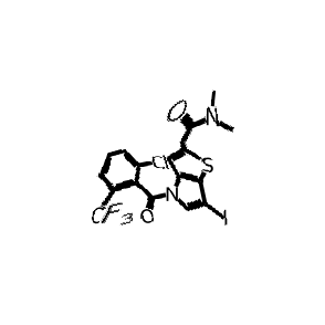 CN(C)C(=O)c1cc2c(s1)c(I)cn2C(=O)c1c(Cl)cccc1C(F)(F)F